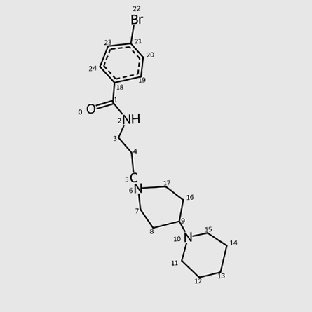 O=C(NCCCN1CCC(N2CCCCC2)CC1)c1ccc(Br)cc1